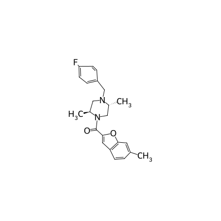 Cc1ccc2cc(C(=O)N3C[C@@H](C)N(Cc4ccc(F)cc4)C[C@@H]3C)oc2c1